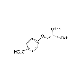 CCCCCCCCC(CCCCCC)COc1ccc(C(=O)O)cc1